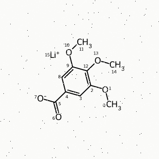 COc1cc(C(=O)[O-])cc(OC)c1OC.[Li+]